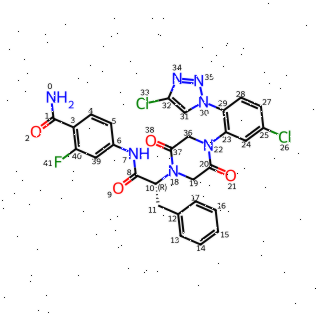 NC(=O)c1ccc(NC(=O)[C@@H](Cc2ccccc2)N2CC(=O)N(c3cc(Cl)ccc3-n3cc(Cl)nn3)CC2=O)cc1F